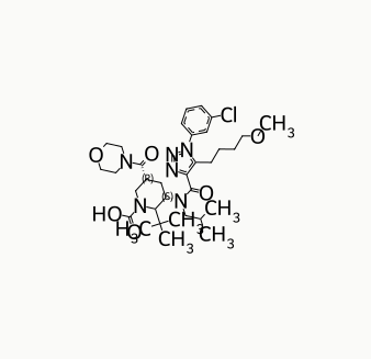 COCCCCc1c(C(=O)N(CC(C)C)[C@H]2C[C@@H](C(=O)N3CCOCC3)CN(C(=O)O)C2C(C)(C)C)nnn1-c1cccc(Cl)c1